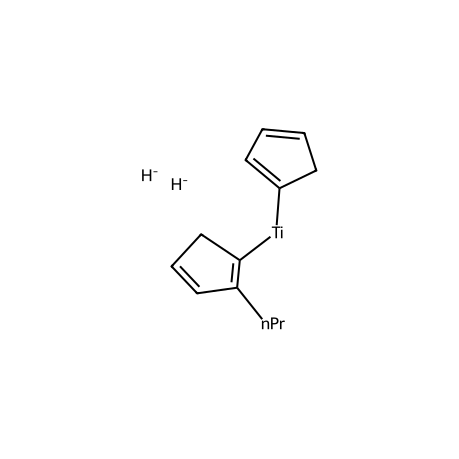 CCCC1=[C]([Ti][C]2=CC=CC2)CC=C1.[H-].[H-]